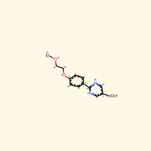 CCCCCCCCc1cnc(-c2ccc(OCCOCC)cc2)nc1